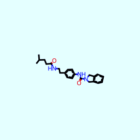 CC(C)CCC(=O)NCCc1ccc(NC(=O)N2Cc3ccccc3C2)cc1